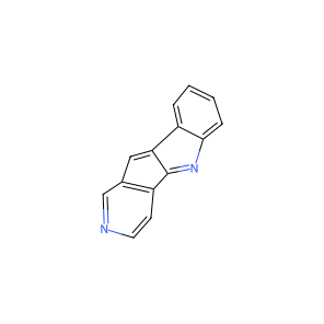 C1=C2C(=Nc3ccccc32)c2ccncc21